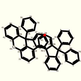 c1ccc(C2(c3ccccc3)c3ccccc3-c3c(-c4cccc5c4C(c4ccccc4)(c4ccccc4)c4ccccc4O5)cccc32)cc1